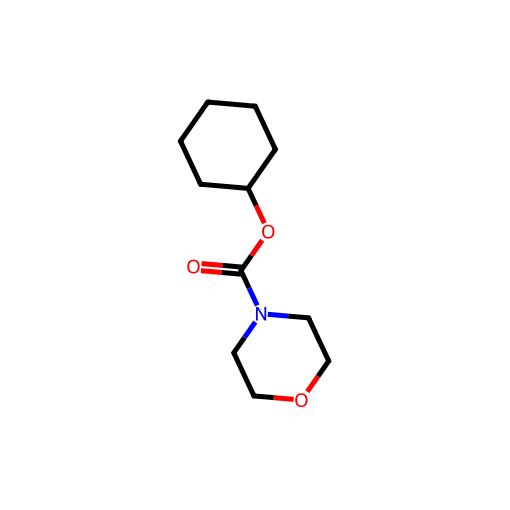 O=C(OC1CCCCC1)N1CCOCC1